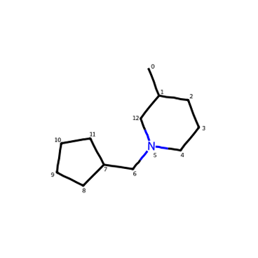 CC1CCCN(CC2CCCC2)C1